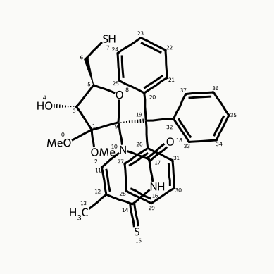 COC1(OC)[C@H](O)[C@@H](CS)O[C@]1(n1cc(C)c(=S)[nH]c1=O)C(c1ccccc1)(c1ccccc1)c1ccccc1